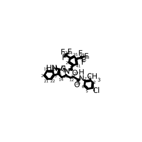 Cc1cc(Cl)ccc1NC(=O)CCC(Cc1c[nH]c2ccccc12)N(C)C(=O)c1cc(C(F)(F)F)cc(C(F)(F)F)c1